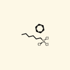 CCCCCC[Si](Cl)(Cl)Cl.c1ccccc1